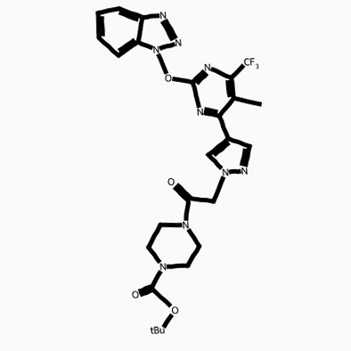 Cc1c(-c2cnn(CC(=O)N3CCN(C(=O)OC(C)(C)C)CC3)c2)nc(On2nnc3ccccc32)nc1C(F)(F)F